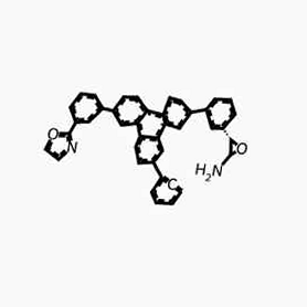 NC1O[C@H]1c1cccc(-c2ccc3c4ccc(-c5cccc(-c6ncco6)c5)cc4c4ccc(-c5ccccc5)cc4c3c2)c1